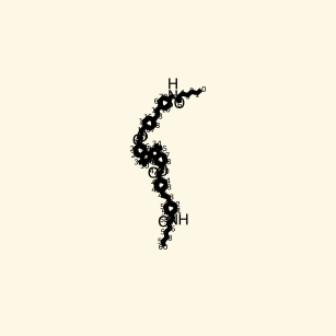 CCCCCC(=O)Nc1ccc(/C=C/c2ccc(COOc3ccc4c(c3)C3(CC4(C)C)CC(C)(C)c4ccc(OC(=O)c5ccc(/C=C/c6ccc(NC(=O)CCCCC)cc6)cc5)cc43)cc2)cc1